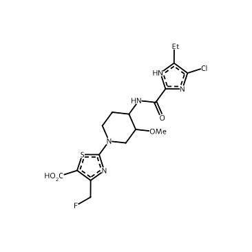 CCc1[nH]c(C(=O)NC2CCN(c3nc(CF)c(C(=O)O)s3)CC2OC)nc1Cl